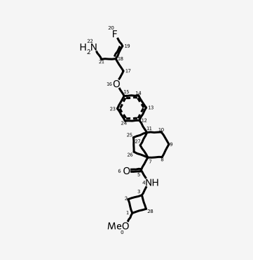 COC1CC(NC(=O)C23CCCC(c4ccc(OC/C(=C/F)CN)cc4)(CC2)C3)C1